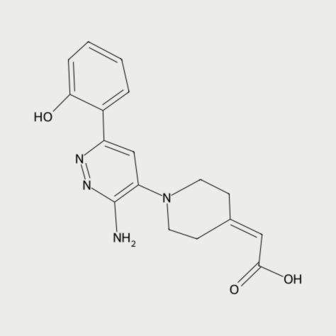 Nc1nnc(-c2ccccc2O)cc1N1CCC(=CC(=O)O)CC1